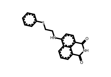 O=C1NC(=O)c2ccc(NCCSc3ccccc3)c3cccc1c23